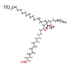 CCCCCCCCCCCCCCC(CCCCCCCCCCCCCCCCO)(CCCCCCCCCCCCCC(=O)O)C(=O)OC(C)C